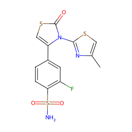 Cc1csc(-n2c(-c3ccc(S(N)(=O)=O)c(F)c3)csc2=O)n1